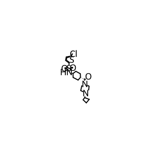 O=C([C@H]1CC[C@H](NS(=O)(=O)c2ccc(Cl)s2)CC1)N1CCN(C2CCC2)CC1